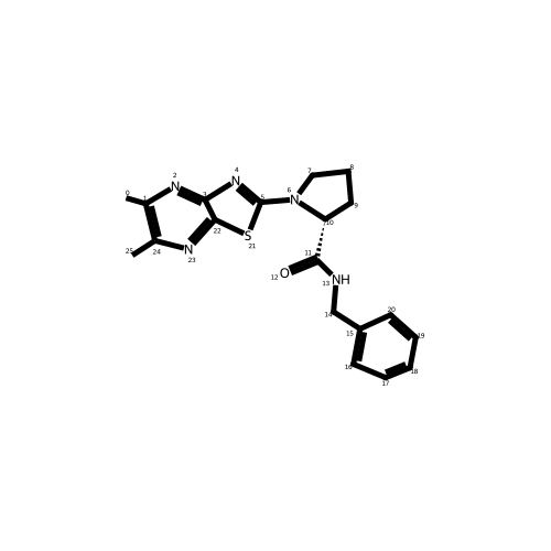 Cc1nc2nc(N3CCC[C@@H]3C(=O)NCc3ccccc3)sc2nc1C